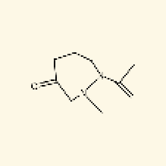 C=C(C)N1CCCC(=O)CN1C